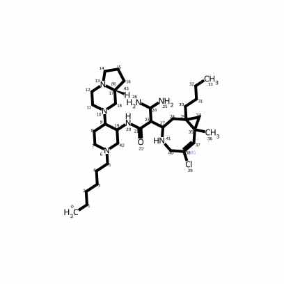 CCCCCCN1CCC(N2CCN3CCC[C@@H]3C2)C(NC(=O)C(C(N)N)C2CC3(CCCC)CC3(C)/C=C(/Cl)CN2)C1